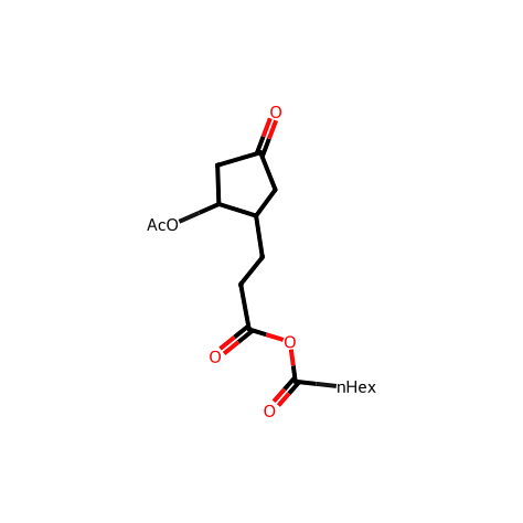 CCCCCCC(=O)OC(=O)CCC1CC(=O)CC1OC(C)=O